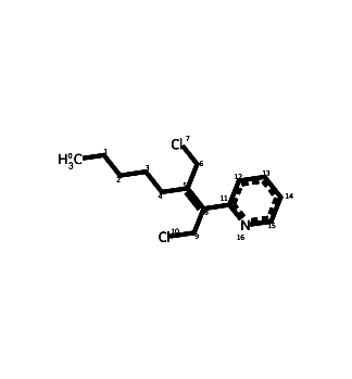 CCCCCC(CCl)=C(CCl)c1ccccn1